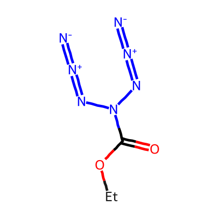 CCOC(=O)N(N=[N+]=[N-])N=[N+]=[N-]